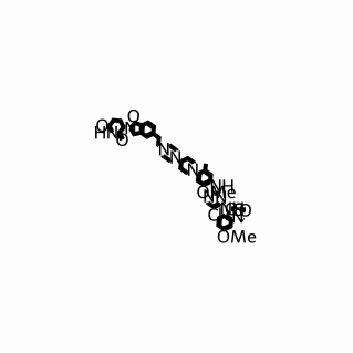 COc1ccc(Nc2nc(Nc3cc(C)c(N4CCC(N5CCN(CCc6ccc7c(c6)CN(C6CCC(=O)NC6=O)C7=O)CC5)CC4)cc3OC)ncc2Cl)c(N(C)S(C)(=O)=O)c1